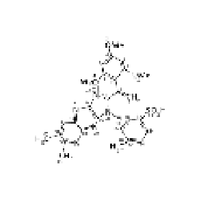 C=C(c1c(OC)cc(OC)cc1OC)C1N(CC)c2nc3cc(C)c(C)cc3nc2N1CC.Cc1ccc(S(=O)(=O)O)cc1